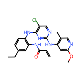 C=CC(=O)Nc1cc(CC)ccc1Nc1nc(Nc2cc(OC)ncc2C)ncc1Cl